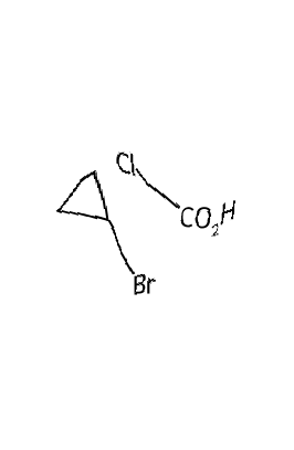 BrC1CC1.O=C(O)Cl